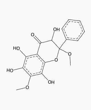 COc1c(O)c(O)c2c(c1O)OC(OC)(c1ccccc1)C(O)C2=O